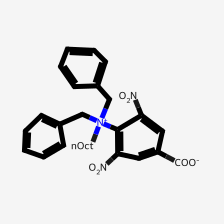 CCCCCCCC[N+](Cc1ccccc1)(Cc1ccccc1)c1c([N+](=O)[O-])cc(C(=O)[O-])cc1[N+](=O)[O-]